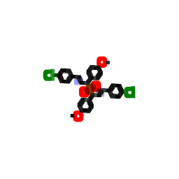 COc1ccc(C(/C=C/c2ccc(Cl)cc2)S(=O)(=O)C(/C=C/c2ccc(Cl)cc2)c2ccc(OC)cc2)cc1